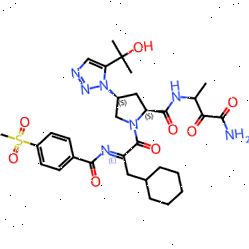 CC(NC(=O)[C@@H]1C[C@H](n2nncc2C(C)(C)O)CN1C(=O)/C(CC1CCCCC1)=N/C(=O)c1ccc(S(C)(=O)=O)cc1)C(=O)C(N)=O